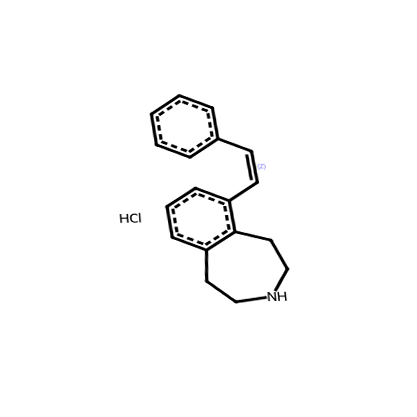 C(=C/c1cccc2c1CCNCC2)/c1ccccc1.Cl